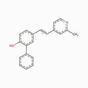 Cc1cc(/C=C/c2ccc(O)c(-c3ccccc3)c2)ccn1